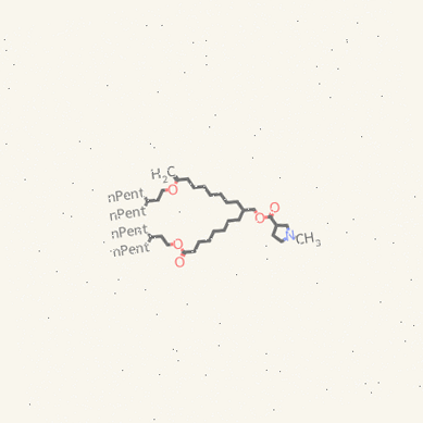 C=C(CCCCCCCC(CCCCCCCC(=O)OCCC(CCCCC)CCCCC)COC(=O)C1CCN(C)C1)OCCC(CCCCC)CCCCC